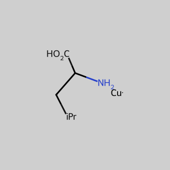 CC(C)CC(N)C(=O)O.[Cu]